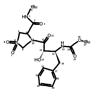 CC(C)(C)NC(=O)C1CS(=O)(=O)CN1C(=O)[C@@H](O)[C@H](Cc1ccccc1)NC(=O)OC(C)(C)C